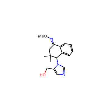 CO/N=C1\CC(C)(C)C(n2cncc2CO)c2ccccc21